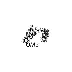 COc1cccc(C2=NC(=CN(C)CCCCCCN(C)C(=O)OC3CCCC3)C(=O)O2)c1